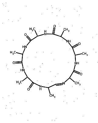 CC1/C=N/C(C)C(=O)NC(C)C(=O)NC(C)C(=O)NC(C)C(=O)NC(C)C(=O)NC(C)C(=O)N1